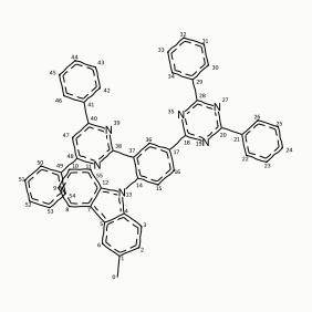 Cc1ccc2c(c1)c1ccccc1n2-c1ccc(-c2nc(-c3ccccc3)nc(-c3ccccc3)n2)cc1-c1nc(-c2ccccc2)cc(-c2ccccc2)n1